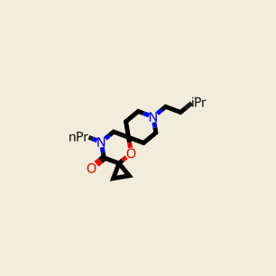 CCCN1CC2(CCN(CCC(C)C)CC2)OC2(CC2)C1=O